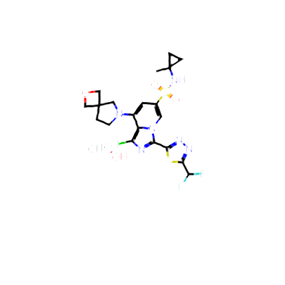 CC1(NS(=O)(=O)c2cc(N3CCC4(COC4)C3)c3c(Cl)nc(-c4nnc(C(F)F)s4)n3c2)CC1.O=CO